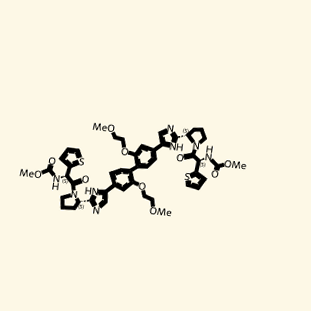 COCCOc1cc(-c2cnc([C@@H]3CCCN3C(=O)[C@H](NC(=O)OC)c3cccs3)[nH]2)ccc1-c1ccc(-c2cnc([C@@H]3CCCN3C(=O)[C@H](NC(=O)OC)c3cccs3)[nH]2)cc1OCCOC